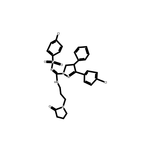 O=C1CCCN1CCCNC(=NS(=O)(=O)c1ccc(Cl)cc1)N1CC(c2ccccc2)C(c2ccc(Cl)cc2)=N1